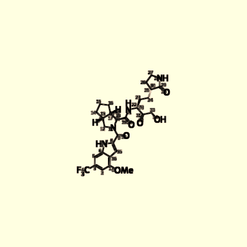 COc1cc(C(F)(F)F)cc2[nH]c(C(=O)N3C[C@@H]4CCC[C@@H]4[C@H]3C(=O)N[C@@H](CC[C@@H]3CCNC3=O)C(=O)CO)cc12